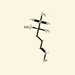 CCOC(=O)[C@@](C)(CCC=NO)S(C)(=O)=O